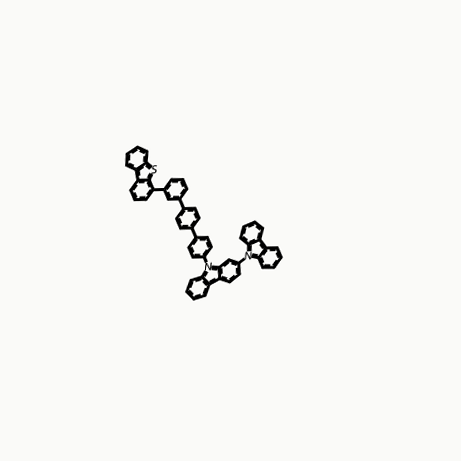 c1cc(-c2ccc(-c3ccc(-n4c5ccccc5c5ccc(-n6c7ccccc7c7ccccc76)cc54)cc3)cc2)cc(-c2cccc3c2sc2ccccc23)c1